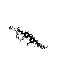 COC(=O)CCc1ccc(Oc2cc(F)cc(CCCNO)c2)cc1C